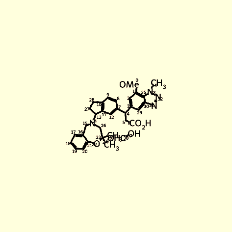 COc1cc(C(CC(=O)O)c2ccc3c(c2)C(N2Cc4ccccc4OC(C)(C)C2)CC3)cc2nnn(C)c12.O=CO